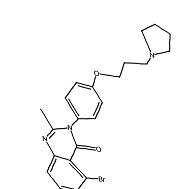 Cc1nc2cccc(Br)c2c(=O)n1-c1ccc(OCCCN2CCCC2)cc1